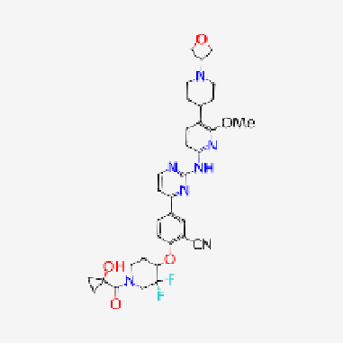 COc1nc(Nc2nccc(-c3ccc(OC4CCN(C(=O)C5(O)CC5)CC4(F)F)c(C#N)c3)n2)ccc1C1CCN(C2COC2)CC1